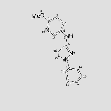 COc1ccc(NC2=NN(c3ccccc3)CC2)cn1